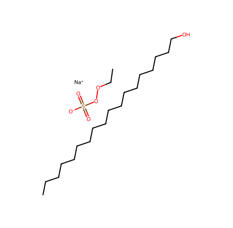 CCCCCCCCCCCCCCCCCCO.CCOOS(=O)(=O)[O-].[Na+]